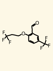 O=Cc1cc(C(F)(F)F)ccc1OCCC(F)(F)F